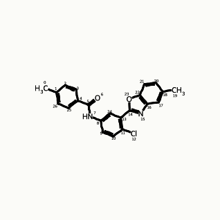 Cc1ccc(C(=O)Nc2ccc(Cl)c(-c3nc4cc(C)ccc4o3)c2)cc1